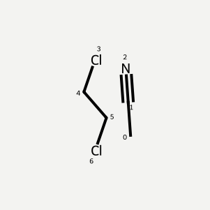 CC#N.ClCCCl